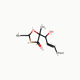 CCCCC/C=C/C(O)C1(C)OC(C(C)(C)C)SC1=O